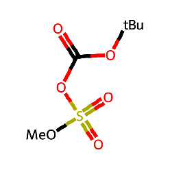 COS(=O)(=O)OC(=O)OC(C)(C)C